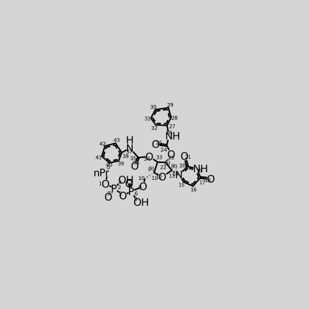 CCCOP(=O)(O)OP(=O)(O)OC[C@H]1O[C@@H](n2ccc(=O)[nH]c2=O)[C@@H](OC(=O)Nc2ccccc2)C1OC(=O)Nc1ccccc1